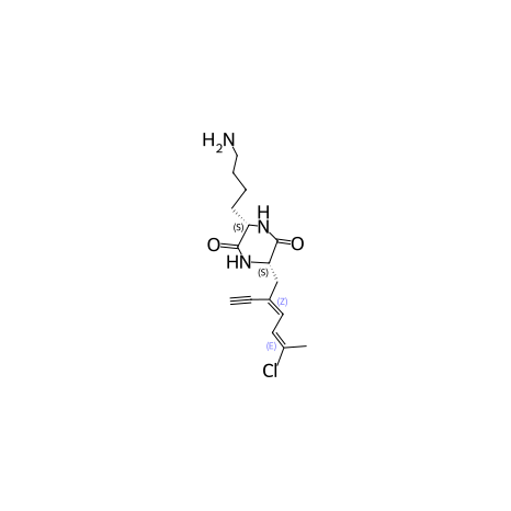 C#C/C(=C\C=C(/C)Cl)C[C@@H]1NC(=O)[C@H](CCCCN)NC1=O